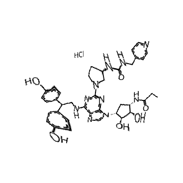 CCC(=O)N[C@H]1C[C@@H](n2cnc3c(NCC(c4ccc(O)cc4)c4ccc(O)cc4)nc(N4CC[C@@H](NC(=O)NCc5ccncc5)C4)nc32)[C@H](O)[C@@H]1O.Cl